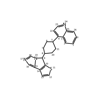 c1ccc2c(C3CCC(C4c5sccc5-c5cncn54)CC3)ccnc2c1